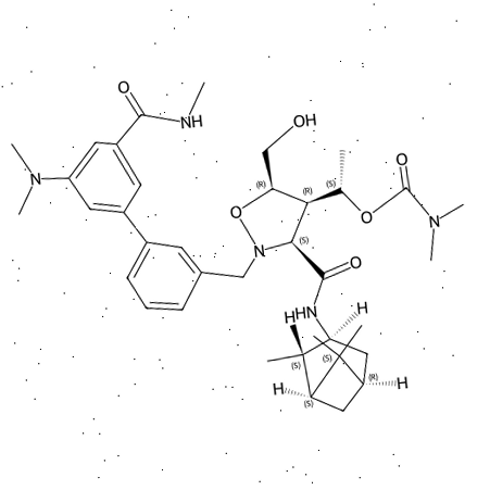 CNC(=O)c1cc(-c2cccc(CN3O[C@@H](CO)[C@@H]([C@H](C)OC(=O)N(C)C)[C@H]3C(=O)N[C@H]3C[C@H]4C[C@@H]([C@@H]3C)C4(C)C)c2)cc(N(C)C)c1